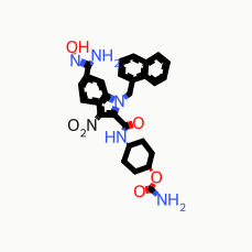 NC(=O)O[C@H]1CC[C@H](NC(=O)c2c([N+](=O)[O-])c3ccc(C(N)=NO)cc3n2Cc2cccc3ccccc23)CC1